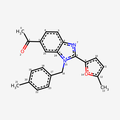 CC(=O)c1ccc2nc(-c3ccc(C)o3)n(Cc3ccc(C)cc3)c2c1